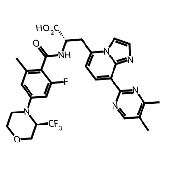 Cc1cnc(-c2ccc(C[C@H](NC(=O)c3c(C)cc(N4CCOC[C@@H]4C(F)(F)F)cc3F)C(=O)O)n3ccnc23)nc1C